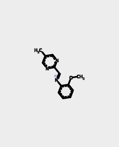 COc1ccccc1/N=C/c1ncc(C)cn1